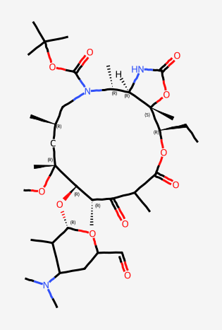 CC[C@H]1OC(=O)C(C)C(=O)[C@H](C)[C@@H](O[C@@H]2OC(C=O)CC(N(C)C)C2C)[C@](C)(OC)C[C@@H](C)CN(C(=O)OC(C)(C)C)[C@H](C)[C@H]2NC(=O)O[C@@]21C